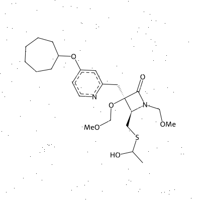 COCO[C@@]1(Cc2cc(OC3CCCCCC3)ccn2)C(=O)N(COC)[C@H]1CSC(C)O